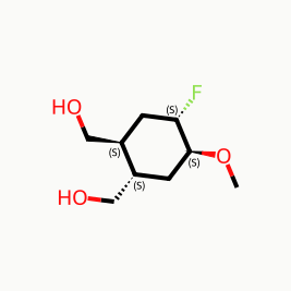 CO[C@H]1C[C@H](CO)[C@@H](CO)C[C@@H]1F